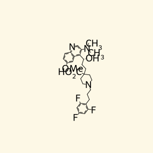 COc1ccc2ncc(N(C)C)c([C@H](O)CCC3(C(=O)O)CCN(CCCc4c(F)cc(F)cc4F)CC3)c2c1